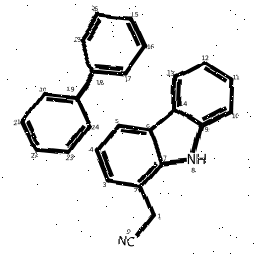 N#CCc1cccc2c1[nH]c1ccccc12.c1ccc(-c2ccccc2)cc1